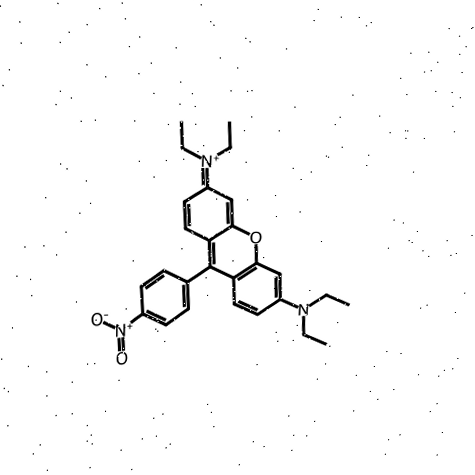 CCN(CC)c1ccc2c(-c3ccc([N+](=O)[O-])cc3)c3ccc(=[N+](CC)CC)cc-3oc2c1